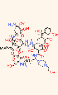 CN(C)[C@H]1C(O)=C(C(=O)NC(C(=O)O)N2CCN(CCO)CC2)C(=O)[C@]2(O)C(O)=C3C(=O)c4c(O)cccc4[C@](C)(O)C3CC12.CN[C@@H]1[C@@H](O[C@H]2O[C@H](CO)[C@@H](N)[C@H](O)[C@H]2O)O[C@H]2C[C@@H](N)[C@@H](O[C@H]3[C@H](O)[C@@H](O)[C@H](N)C[C@@H]3N)O[C@@H]2[C@@H]1O